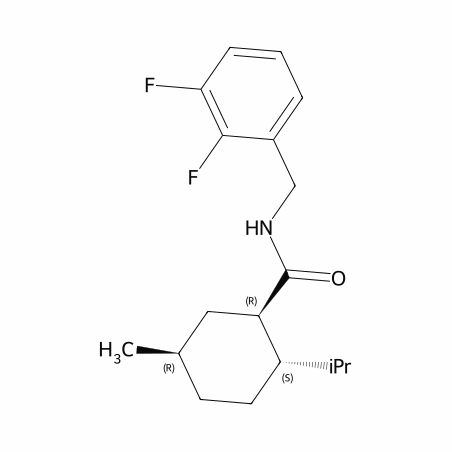 CC(C)[C@@H]1CC[C@@H](C)C[C@H]1C(=O)NCc1cccc(F)c1F